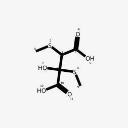 CSC(C(=O)O)C(O)(SC)C(=O)O